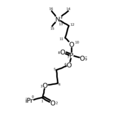 CC(C)C(=O)OCCOP(=O)([O-])OCC[N+](C)(C)C